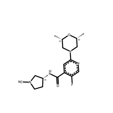 C[C@@H]1CN(c2cc(C(=O)N[C@@H]3CCN(C#N)C3)c(F)cn2)C[C@H](C)O1